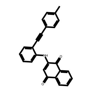 Cc1ccc(C#Cc2ccccc2NC2=CC(=O)c3ccccc3C2=O)cc1